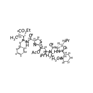 CCOC(=O)[C@@H](C)C[C@H](Cc1ccccc1)NC(=O)c1csc([C@@H](C[C@H](C(C)C)N(C)C(=O)[C@H](CCC(C)C)NC(=O)[C@H]2CCCCN2C)OC(C)=O)n1